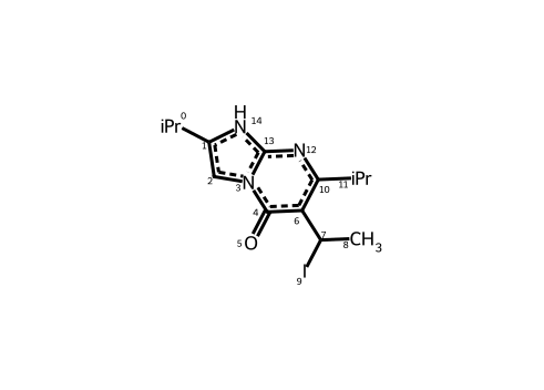 CC(C)c1cn2c(=O)c(C(C)I)c(C(C)C)nc2[nH]1